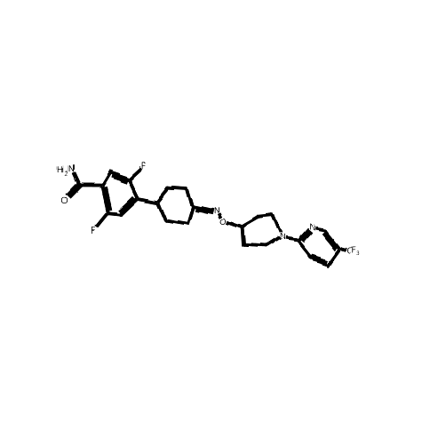 NC(=O)c1cc(F)c(C2CCC(=NOC3CCN(c4ccc(C(F)(F)F)cn4)CC3)CC2)cc1F